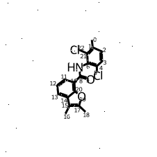 Cc1ccc(Cl)c(NC(=O)c2cccc3c(C)c(C)oc23)c1Cl